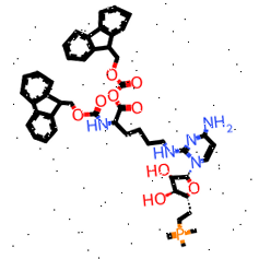 C=P(C)(C)CC[C@H]1O[C@@H](N2C=CC(N)N=C2NCCCCC(NC(=O)OCC2c3ccccc3-c3ccccc32)C(=O)OC(=O)OCC2c3ccccc3-c3ccccc32)[C@H](O)[C@@H]1O